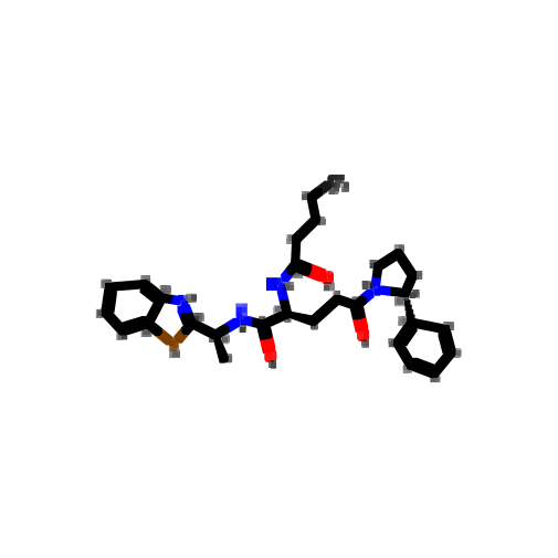 C[C@H](NC(=O)[C@H](CCC(=O)N1CCC[C@@H]1c1ccccc1)NC(=O)CCCC(F)(F)F)c1nc2ccccc2s1